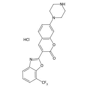 Cl.O=c1oc2cc(N3CCNCC3)ccc2cc1-c1nc2cccc(C(F)(F)F)c2o1